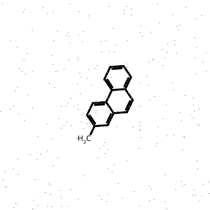 [CH2]c1ccc2c(ccc3ccccc32)c1